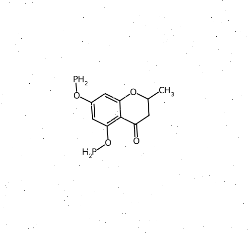 CC1CC(=O)c2c(OP)cc(OP)cc2O1